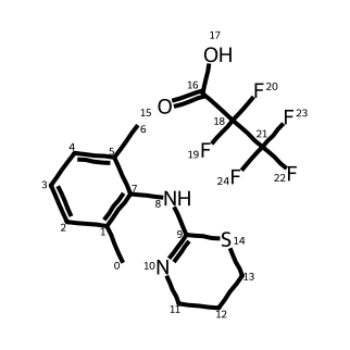 Cc1cccc(C)c1NC1=NCCCS1.O=C(O)C(F)(F)C(F)(F)F